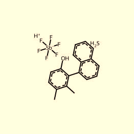 Cc1ccc(O)c(-c2cccc3ccccc23)c1C.S.[F][Sb-]([F])([F])([F])([F])[F].[H+]